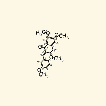 COc1ccc(OC)c(C=C2CCc3cc(OC)c(OC)cc3C2=O)c1